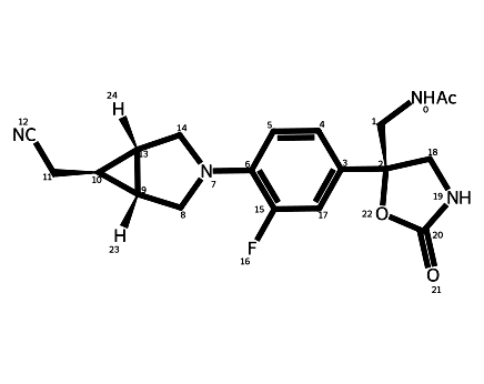 CC(=O)NC[C@@]1(c2ccc(N3C[C@@H]4[C@@H](CC#N)[C@@H]4C3)c(F)c2)CNC(=O)O1